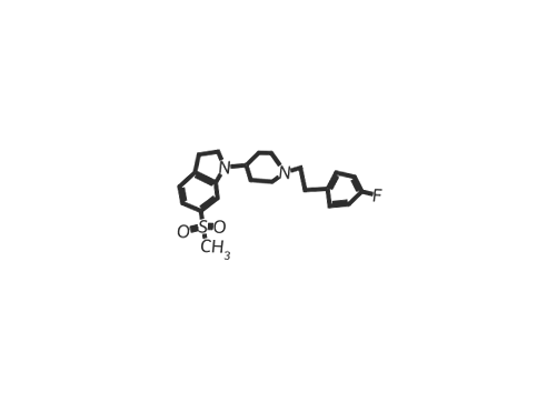 CS(=O)(=O)c1ccc2c(c1)N(C1CCN(CCc3ccc(F)cc3)CC1)CC2